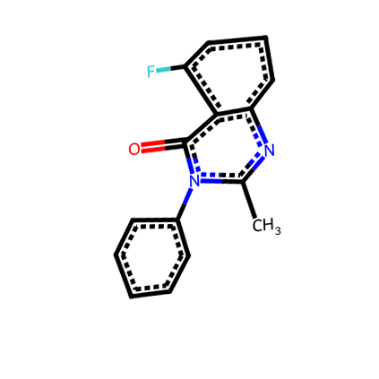 Cc1nc2cccc(F)c2c(=O)n1-c1ccccc1